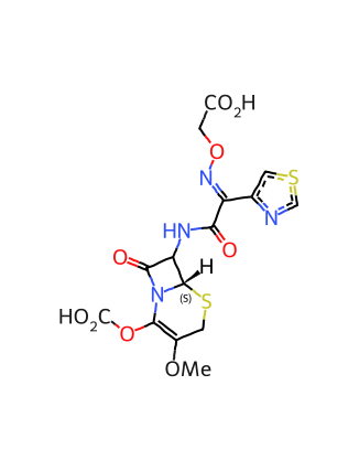 COC1=C(OC(=O)O)N2C(=O)C(NC(=O)C(=NOCC(=O)O)c3cscn3)[C@@H]2SC1